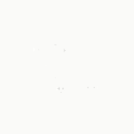 C=C([C]C(F)(F)C(F)(F)C(F)(F)F)C(=O)O